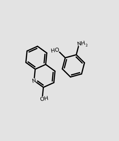 Nc1ccccc1O.Oc1ccc2ccccc2n1